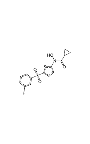 O=C(C1CC1)N(O)c1ccc(S(=O)(=O)c2cccc(F)c2)s1